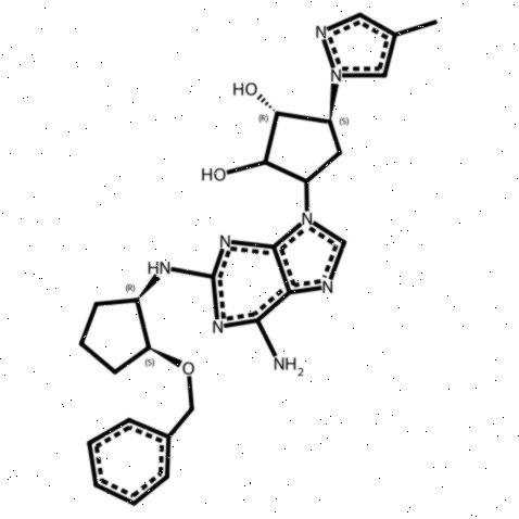 Cc1cnn([C@H]2CC(n3cnc4c(N)nc(N[C@@H]5CCC[C@@H]5OCc5ccccc5)nc43)C(O)[C@@H]2O)c1